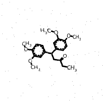 CCC(=O)CC(c1ccc(OC)c(OC)c1)c1ccc(OC)c(OC)c1